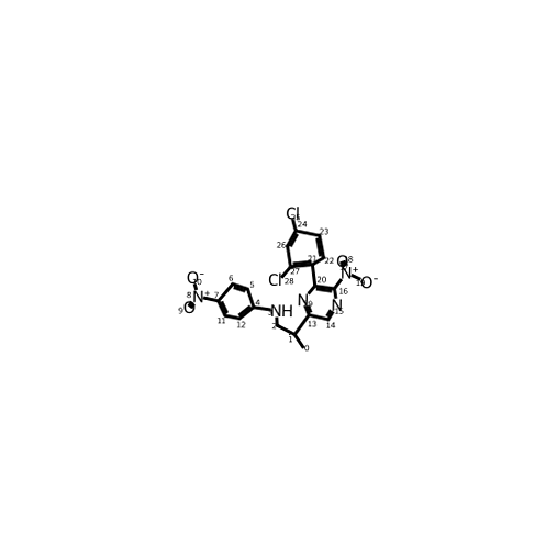 C[C](CNc1ccc([N+](=O)[O-])cc1)c1cnc([N+](=O)[O-])c(-c2ccc(Cl)cc2Cl)n1